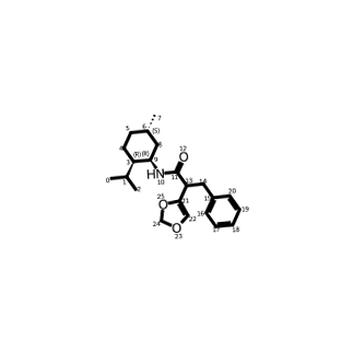 CC(C)[C@H]1CC[C@H](C)C[C@H]1NC(=O)C(Cc1ccccc1)C1=COCO1